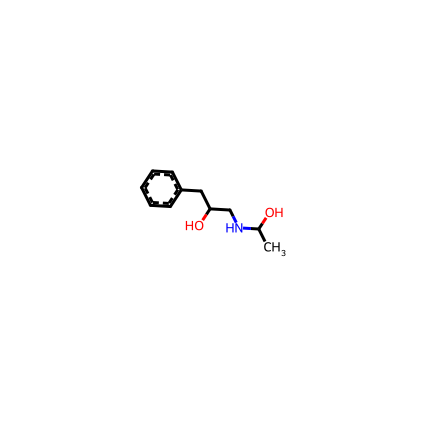 CC(O)NCC(O)Cc1ccccc1